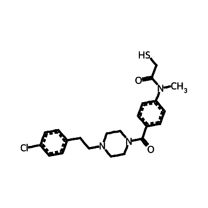 CN(C(=O)CS)c1ccc(C(=O)N2CCN(CCc3ccc(Cl)cc3)CC2)cc1